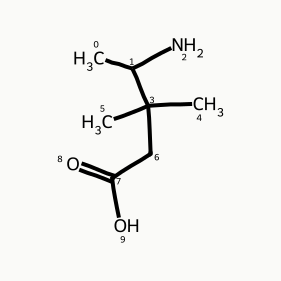 CC(N)C(C)(C)CC(=O)O